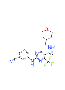 C/C=C(/NCC1CCOCC1)c1cnc(Nc2cccc(C#N)c2)nc1C(F)(F)F